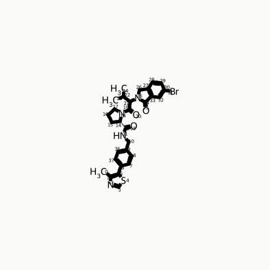 Cc1ncsc1-c1ccc(CNC(=O)[C@@H]2CCCN2C(=O)C(C(C)C)N2Cc3ccc(Br)cc3C2=O)cc1